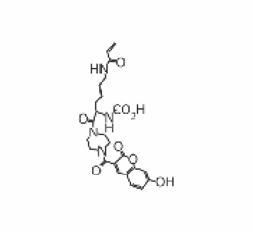 C=CC(=O)NCCCCC(NC(=O)O)C(=O)N1CCN(C(=O)c2cc3ccc(O)cc3oc2=O)CC1